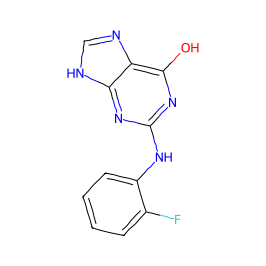 Oc1nc(Nc2ccccc2F)nc2[nH]cnc12